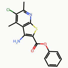 Cc1nc2sc(C(=O)Oc3ccccc3)c(N)c2c(C)c1Cl